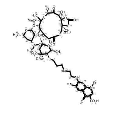 CC[C@@H]1OC(=O)[C@H](C)[C@H](O[C@@H]2C[C@](C)(OC)[C@H](OCCCNCCNc3nc4c(cc3F)c(=O)c(C(=O)O)cn4CC)[C@H](C)O2)[C@@H](C)[C@H](O[C@H]2O[C@@H](C)C[C@@H](N(C)C)[C@H]2O)[C@](C)(OC)C[C@H](C)C(=O)[C@H](C)[C@H]2OC(=O)O[C@@]12C